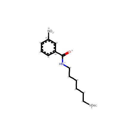 CCCCCCCCCCCCCCCCNC(=O)c1cc[c]c([N+](=O)[O-])c1